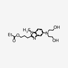 CCC(=O)OCCCc1nc2cc(N(CCO)CCO)ccc2n1C